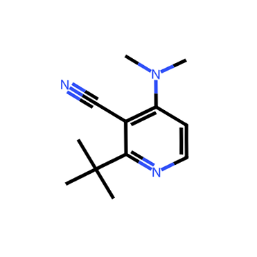 CN(C)c1ccnc(C(C)(C)C)c1C#N